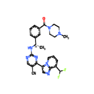 C[C@H](Nc1ncc(C#N)c(-c2cnc3c(C(F)F)cccn23)n1)c1cccc(C(=O)N2CCN(C)CC2)c1